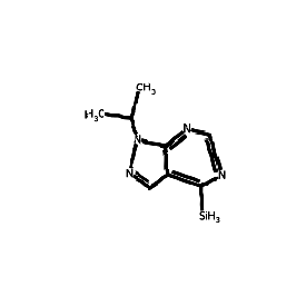 CC(C)n1ncc2c([SiH3])ncnc21